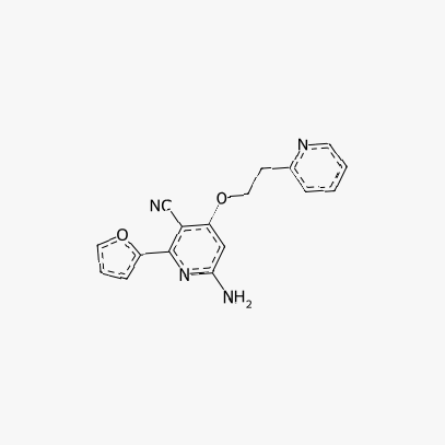 N#Cc1c(OCCc2ccccn2)cc(N)nc1-c1ccco1